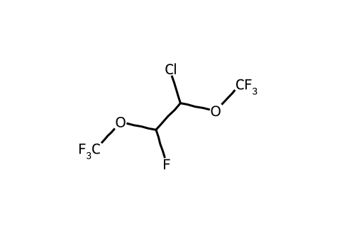 FC(OC(F)(F)F)C(Cl)OC(F)(F)F